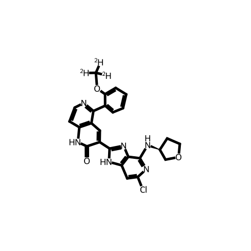 [2H]C([2H])([2H])Oc1ccccc1-c1nccc2[nH]c(=O)c(-c3nc4c(N[C@H]5CCOC5)nc(Cl)cc4[nH]3)cc12